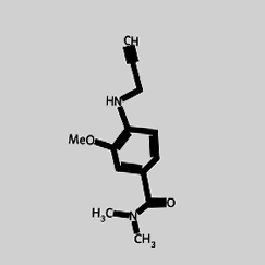 C#CCNc1ccc(C(=O)N(C)C)cc1OC